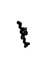 C=CCNCC(=O)OCCN(C)C